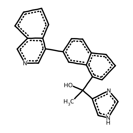 CC(O)(c1c[nH]cn1)c1cccc2ccc(-c3cncc4ccccc34)cc12